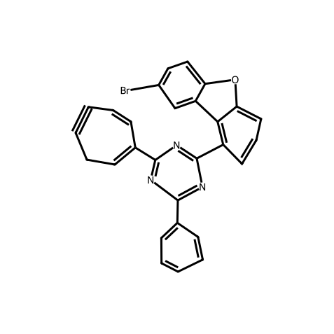 Brc1ccc2oc3cccc(-c4nc(C5=CCC#CC=C5)nc(-c5ccccc5)n4)c3c2c1